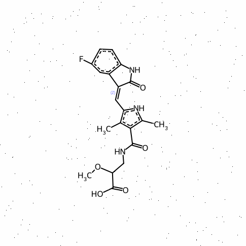 COC(CNC(=O)c1c(C)[nH]c(/C=C2\C(=O)Nc3ccc(F)cc32)c1C)C(=O)O